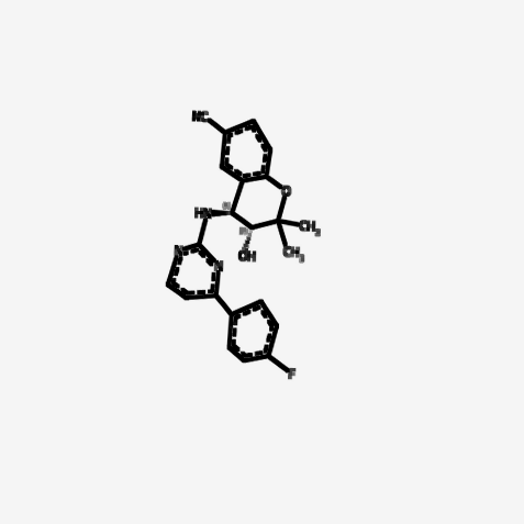 CC1(C)Oc2ccc(C#N)cc2[C@H](Nc2nccc(-c3ccc(F)cc3)n2)[C@H]1O